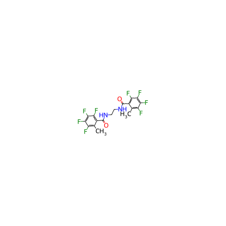 Cc1c(F)c(F)c(F)c(F)c1C(=O)NCCNC(=O)c1c(C)c(F)c(F)c(F)c1F